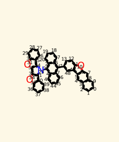 c1ccc2cc3c(cc2c1)oc1ccc(-c2c4ccccc4c(-n4c5c6ccccc6oc5c5oc6ccccc6c54)c4ccccc24)cc13